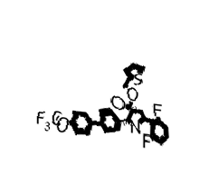 O=C(OCc1cccs1)[C@H]1CC(c2c(F)cccc2F)=N[C@H]1c1ccc(-c2ccc(OC(F)(F)F)cc2)cc1